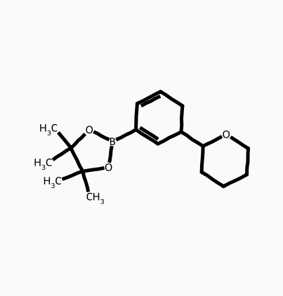 CC1(C)OB(C2=CC(C3CCCCO3)CC=C2)OC1(C)C